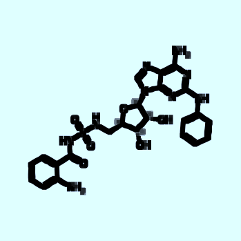 Nc1ccccc1C(=O)NS(=O)(=O)NC[C@H]1O[C@@H](n2cnc3c(N)nc(Nc4ccccc4)nc32)[C@H](O)[C@@H]1O